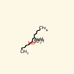 CCCCCCCCCCCCCC.O=S(=O)(O)O.[NaH]